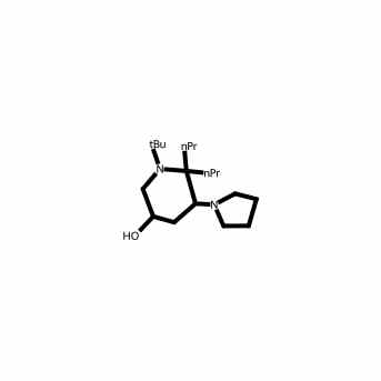 CCCC1(CCC)C(N2CCCC2)CC(O)CN1C(C)(C)C